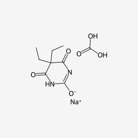 CCC1(CC)C(=O)N=C([O-])NC1=O.O=C(O)O.[Na+]